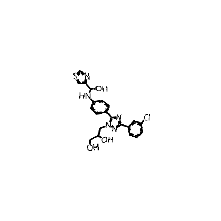 OCC(O)Cn1nc(-c2cccc(Cl)c2)nc1-c1ccc(NC(O)c2cscn2)cc1